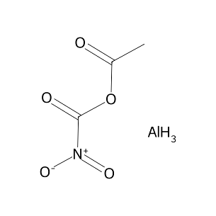 CC(=O)OC(=O)[N+](=O)[O-].[AlH3]